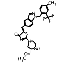 COC[C@@H]1CN(C2=NC(=O)/C(=C/c3ccc4c(cnn4Cc4ccc(C)cc4C(F)(F)F)c3)S2)CCN1